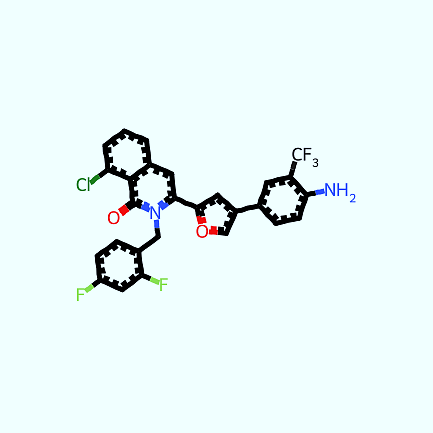 Nc1ccc(-c2coc(-c3cc4cccc(Cl)c4c(=O)n3Cc3ccc(F)cc3F)c2)cc1C(F)(F)F